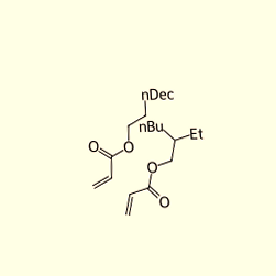 C=CC(=O)OCC(CC)CCCC.C=CC(=O)OCCCCCCCCCCCC